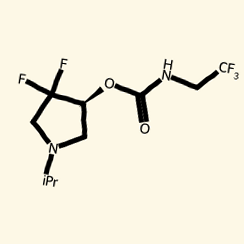 CC(C)N1C[C@H](OC(=O)NCC(F)(F)F)C(F)(F)C1